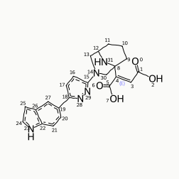 O=C(O)/C=C(/C(=O)O)C12CCCC(CN(c3ccc(-c4ccc5[nH]ccc5c4)nn3)C1)N2